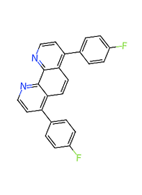 Fc1ccc(-c2ccnc3c2ccc2c(-c4ccc(F)cc4)ccnc23)cc1